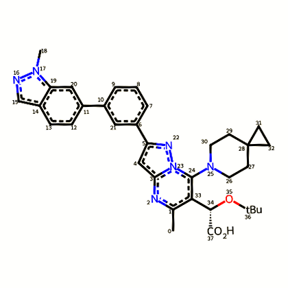 Cc1nc2cc(-c3cccc(-c4ccc5cnn(C)c5c4)c3)nn2c(N2CCC3(CC2)CC3)c1[C@H](OC(C)(C)C)C(=O)O